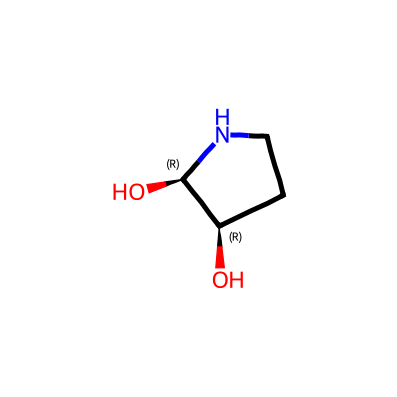 O[C@@H]1CCN[C@@H]1O